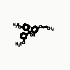 [CH2]CCOc1ccc(C(O)(c2cccc(OC)c2)c2cccc(OC)c2)cc1